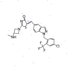 CNC1CN(C2=NC(=O)/C(=C/c3ccc4c(cnn4Cc4ccc(Cl)cc4C(F)(F)F)c3)S2)C1